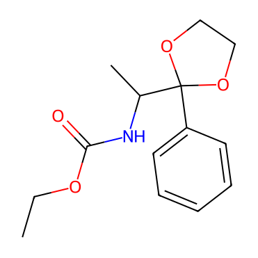 CCOC(=O)NC(C)C1(c2ccccc2)OCCO1